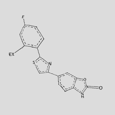 CCc1cc(F)ccc1-c1nc(-c2ccc3[nH]c(=O)oc3c2)cs1